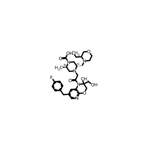 CCC1COCCN1C[C@H]1CN(C(=O)O)[C@H](C)CN1CC(=O)N1c2cc(Cc3ccc(F)cc3)cnc2OCC1(C)CO